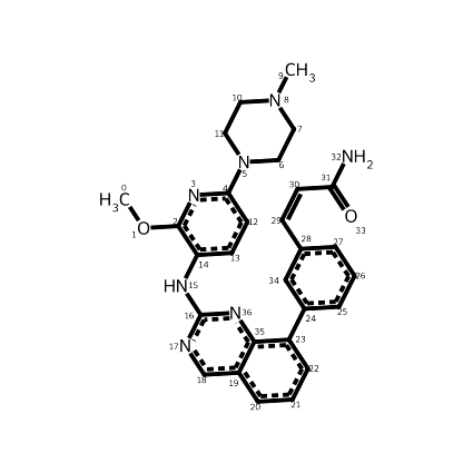 COc1nc(N2CCN(C)CC2)ccc1Nc1ncc2cccc(-c3cccc(C=CC(N)=O)c3)c2n1